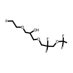 CC(F)(F)OCC(F)(F)COCC(O)COCCF